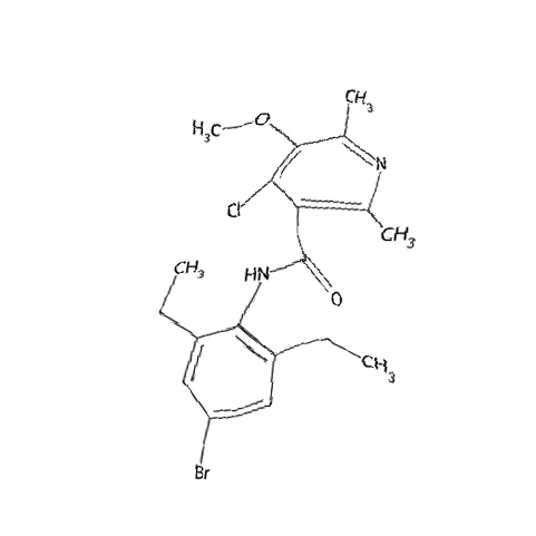 CCc1cc(Br)cc(CC)c1NC(=O)c1c(C)nc(C)c(OC)c1Cl